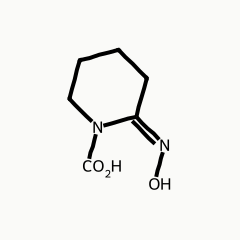 O=C(O)N1CCCCC1=NO